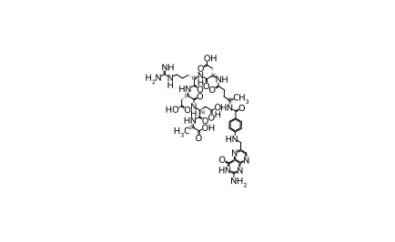 C[C@H](CCC(=O)N[C@@H](CC(=O)O)C(=O)N[C@@H](CCCNC(=N)N)C(=O)N[C@@H](CC(=O)O)C(=O)N[C@@H](CC(=O)O)C(=O)N[C@@H](C)C(=O)O)NC(=O)c1ccc(NCc2cnc3nc(N)[nH]c(=O)c3n2)cc1